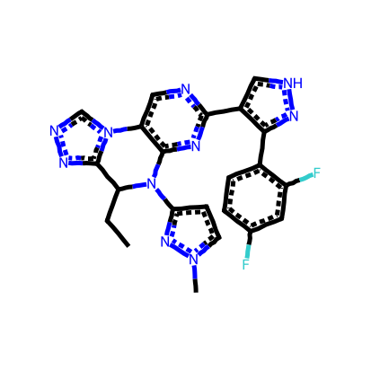 CCC1c2nncn2-c2cnc(-c3c[nH]nc3-c3ccc(F)cc3F)nc2N1c1ccn(C)n1